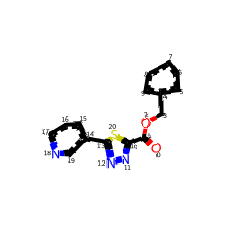 O=C(OCc1ccccc1)c1nnc(-c2cccnc2)s1